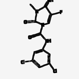 Cn1c(=N)c(F)cn(C(=O)Nc2cc(Cl)cc(Cl)c2)c1=O